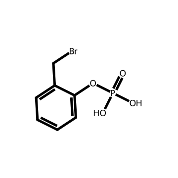 O=P(O)(O)Oc1ccccc1CBr